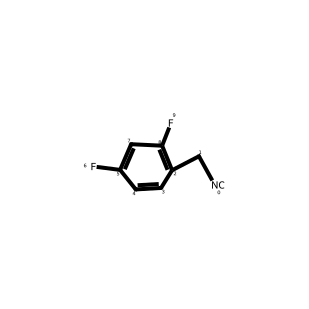 [C-]#[N+]Cc1ccc(F)cc1F